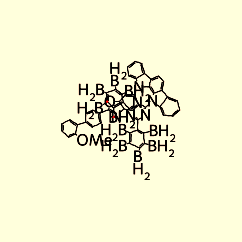 Bc1c(B)c(B)c(-c2nc(-c3c(B)c(B)c(B)c(B)c3B)nc(-n3c4ccccc4c4ccc5c6ccccc6n(C6=CC7OC(c8ccc(-c9ccccc9OC)cc8)=NC7C=C6)c5c43)n2)c(B)c1B